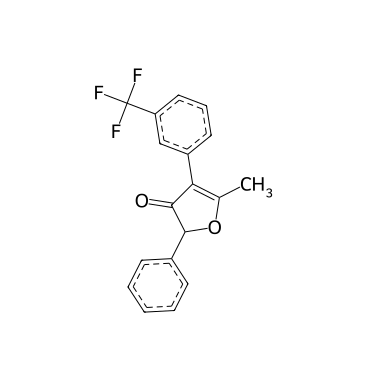 CC1=C(c2cccc(C(F)(F)F)c2)C(=O)C(c2ccccc2)O1